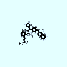 Cc1c(CCC(=O)O)cccc1NC(=O)C(c1ccc(Cn2cnc3ccccc3c2=O)cc1)C1CCCC1